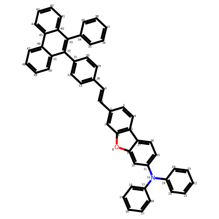 C(=C\c1ccc2c(c1)oc1cc(N(c3ccccc3)c3ccccc3)ccc12)/c1ccc(-c2c(-c3ccccc3)c3ccccc3c3ccccc23)cc1